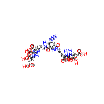 [N-]=[N+]=Nc1cc(C(=O)NCCCC[C@H](NC(=O)N[C@@H](CCC(=O)O)C(=O)O)C(=O)O)cc(C(=O)NCCCC[C@H](NC(=O)N[C@@H](CCC(=O)O)C(=O)O)C(=O)O)c1